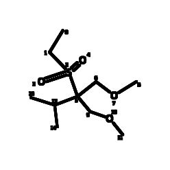 CCS(=O)(=O)C(COC)(COC)C(C)C